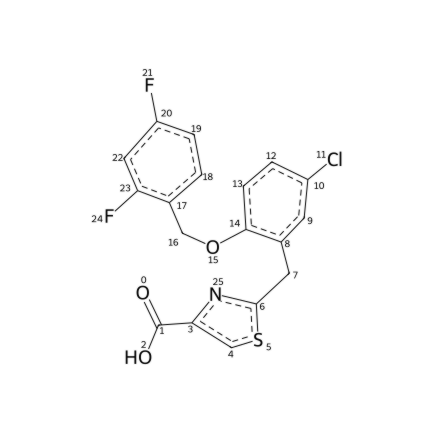 O=C(O)c1csc(Cc2cc(Cl)ccc2OCc2ccc(F)cc2F)n1